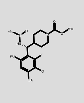 Cc1cc(O)c([C@H](N[S+]([O-])C(C)(C)C)C2CCN(C(=O)OC(C)(C)C)CC2)c(F)c1Cl